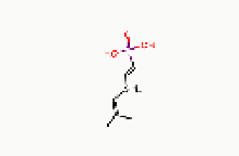 CC(C)=C[SiH2]C=CP(=O)(O)O